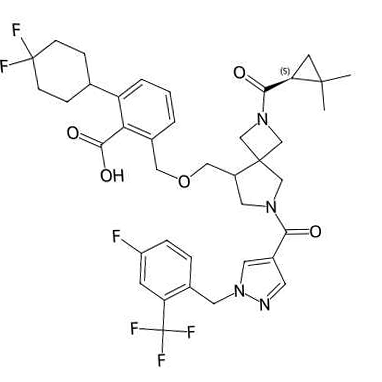 CC1(C)C[C@@H]1C(=O)N1CC2(CN(C(=O)c3cnn(Cc4ccc(F)cc4C(F)(F)F)c3)CC2COCc2cccc(C3CCC(F)(F)CC3)c2C(=O)O)C1